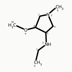 CCNC1CN(C)CC1OC